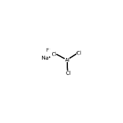 [Cl][Al]([Cl])[Cl].[F-].[Na+]